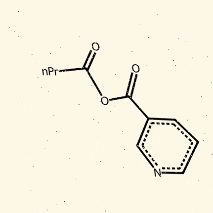 CCCC(=O)OC(=O)c1cccnc1